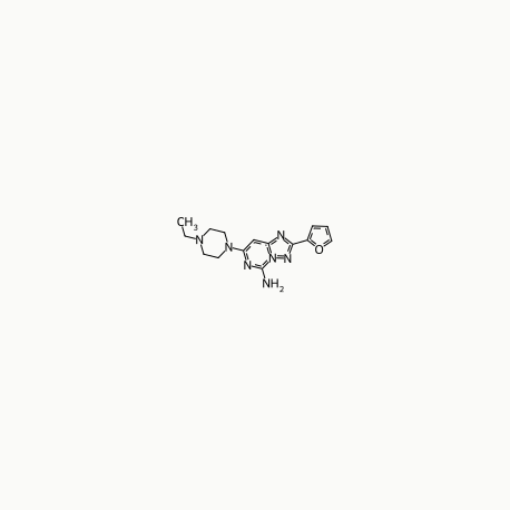 CCN1CCN(c2cc3nc(-c4ccco4)nn3c(N)n2)CC1